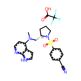 CN(C[C@@H]1CCCN1S(=O)(=O)c1ccc(C#N)cc1)c1ccnc2[nH]ccc12.O=C(O)C(F)(F)F